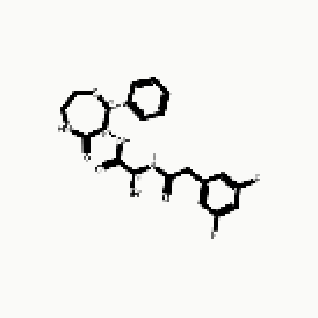 CC(C)[C@H](NC(=O)Cc1cc(F)cc(F)c1)C(=O)N[C@@H]1C(=O)NCCS[C@@H]1c1ccccc1